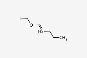 CCC[SH]=COCI